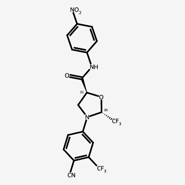 N#Cc1ccc(N2C[C@@H](C(=O)Nc3ccc([N+](=O)[O-])cc3)O[C@@H]2C(F)(F)F)cc1C(F)(F)F